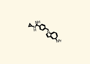 CCCC1C=CC=c2c(ccn2Cc2ccc(C(=N)NC3CC3)cc2)=C1